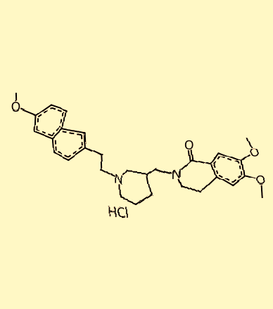 COc1ccc2cc(CCN3CCCC(CN4CCc5cc(OC)c(OC)cc5C4=O)C3)ccc2c1.Cl